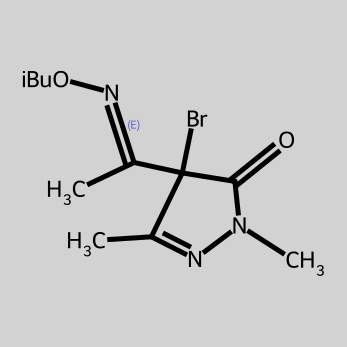 CC1=NN(C)C(=O)C1(Br)/C(C)=N/OCC(C)C